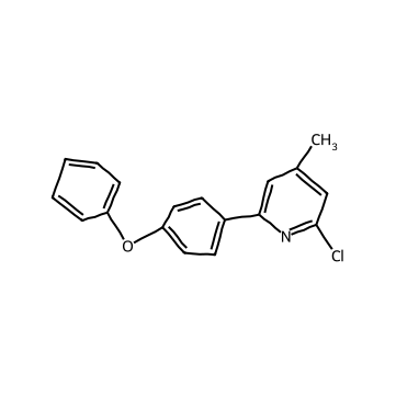 Cc1cc(Cl)nc(-c2ccc(Oc3ccccc3)cc2)c1